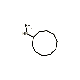 BBC1CCCCCCCCC1